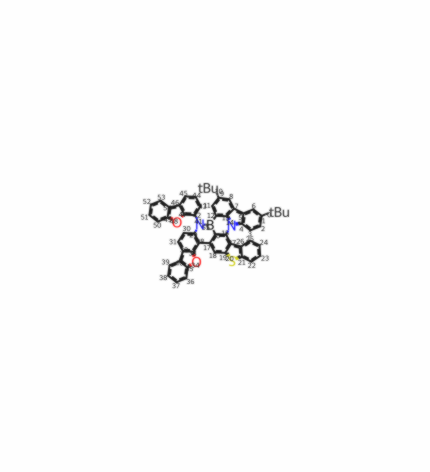 CC(C)(C)c1ccc2c(c1)c1cc(C(C)(C)C)cc3c1n2-c1c2c(cc4sc5ccccc5c14)-c1c(ccc4c1oc1ccccc14)N(c1cccc4c1oc1ccccc14)B23